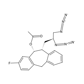 CC(=O)O[C@H]1c2cc(F)ccc2Cc2ccccc2[C@H]1C[C@@H](CN=[N+]=[N-])N=[N+]=[N-]